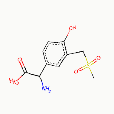 CS(=O)(=O)Cc1cc(C(N)C(=O)O)ccc1O